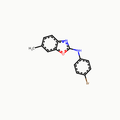 Cc1ccc2nc(Nc3ccc(Br)cc3)oc2c1